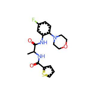 CC(NC(=O)c1cccs1)C(=O)Nc1cc(F)ccc1N1CCOCC1